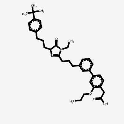 CCCOc1cc(-c2cccc(CCCC3=NC(CCCc4ccc(C(C)(C)C)cc4)C(=O)N3CC)c2)ccc1CC(=O)O